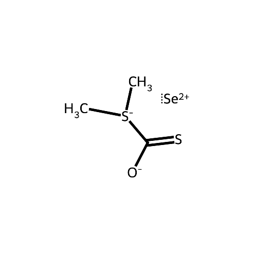 C[S-](C)C([O-])=S.[Se+2]